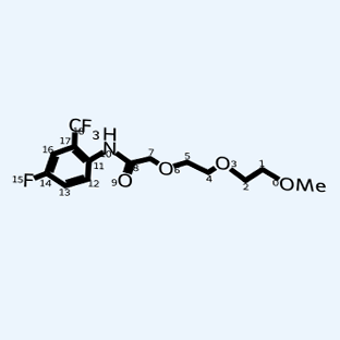 COCCOCCOCC(=O)Nc1ccc(F)cc1C(F)(F)F